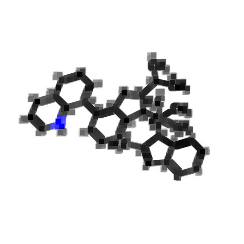 CC1=Cc2ccccc2[CH]1[Zr]([CH3])([CH3])(=[SiH2])[CH]1C(C(C)C)=Cc2c(-c3cccc4cccnc34)cccc21